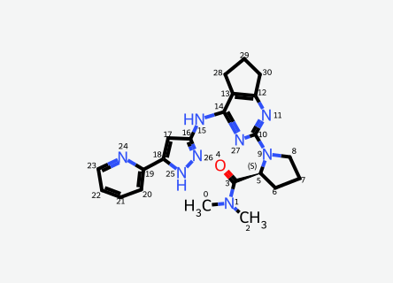 CN(C)C(=O)[C@@H]1CCCN1c1nc2c(c(Nc3cc(-c4ccccn4)[nH]n3)n1)CCC2